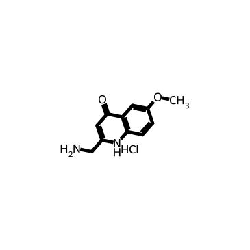 COc1ccc2[nH]c(CN)cc(=O)c2c1.Cl